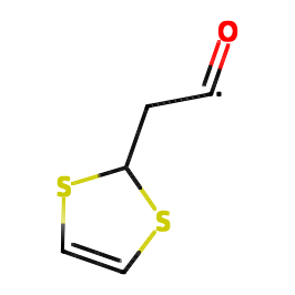 O=[C]CC1SC=CS1